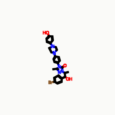 Cc1nn(C(C)C(O)c2ccc(Br)cc2)c(=O)n1-c1ccc(N2CCN(c3ccc(O)cc3)CC2)cc1